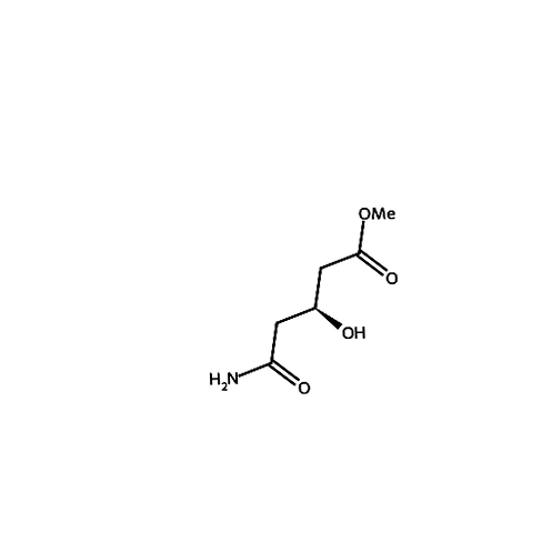 COC(=O)C[C@@H](O)CC(N)=O